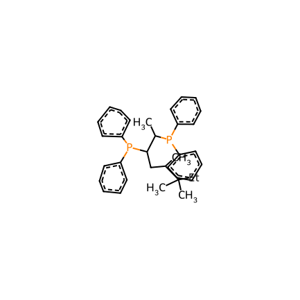 CCC(C)(C)C(C)CC(C(C)P(c1ccccc1)c1ccccc1)P(c1ccccc1)c1ccccc1